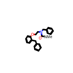 CNC(=O)N(CCOc1ccccc1Cc1ccccc1)Cc1ccccc1